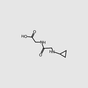 O=C(O)CNC(=O)CNC1CC1